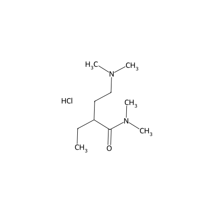 CCC(CCN(C)C)C(=O)N(C)C.Cl